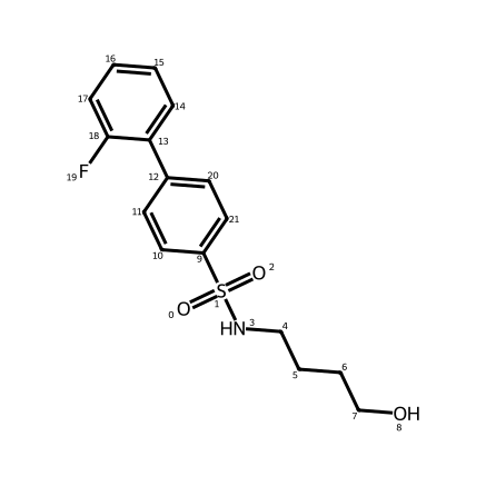 O=S(=O)(NCCCCO)c1ccc(-c2ccccc2F)cc1